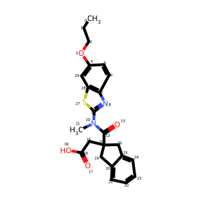 CCCOc1ccc2nc(N(C)C(=O)C3(CC(=O)O)Cc4ccccc4C3)sc2c1